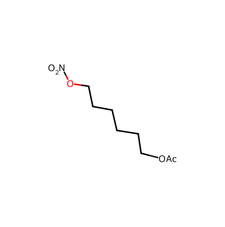 CC(=O)OCCCCCCO[N+](=O)[O-]